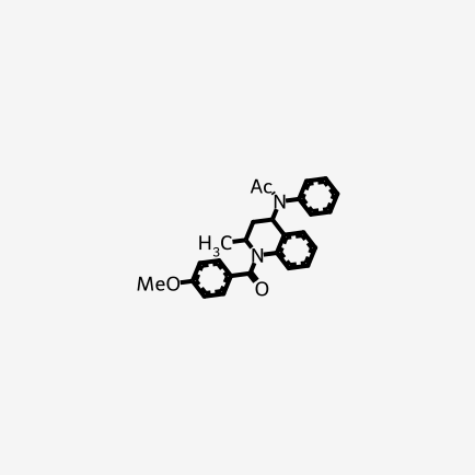 COc1ccc(C(=O)N2c3ccccc3C(N(C(C)=O)c3ccccc3)CC2C)cc1